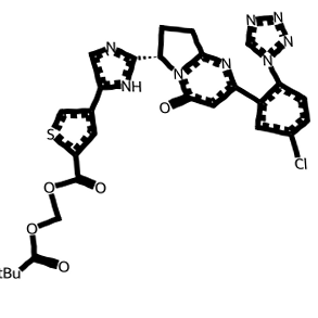 CC(C)(C)C(=O)OCOC(=O)c1cc(-c2cnc([C@@H]3CCc4nc(-c5cc(Cl)ccc5-n5cnnn5)cc(=O)n43)[nH]2)cs1